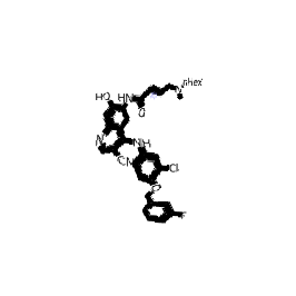 CCCCCCN(C)C/C=C/C(=O)Nc1cc2c(Nc3ccc(OCc4cccc(F)c4)c(Cl)c3)c(C#N)cnc2cc1O